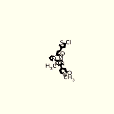 Cn1c(-c2ccn(C)c(=O)c2)nnc1N1CCC[C@@H]1c1cc(-c2csc(Cl)c2)on1